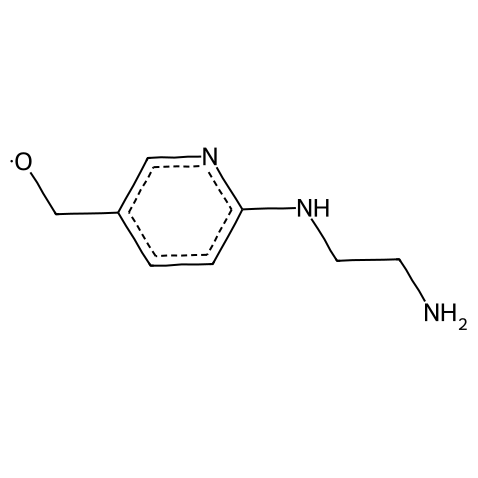 NCCNc1ccc(C[O])cn1